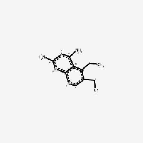 CCc1c(CBr)cnc2nc(N)nc(N)c12